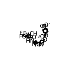 Cn1nc(OC(F)(F)F)cc1C(=O)Nc1cc(C2CC(OC(=O)Oc3ccc([N+](=O)[O-])cc3)CO2)[nH]n1